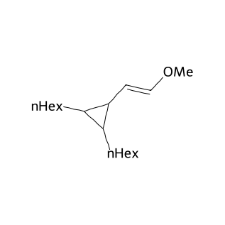 CCCCCCC1C(C=COC)C1CCCCCC